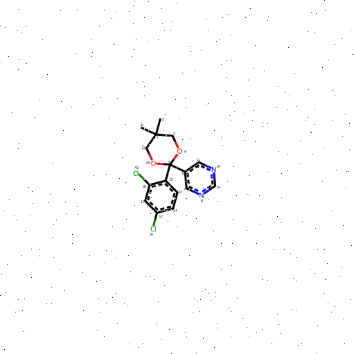 CC1(C)COC(c2cncnc2)(c2ccc(Cl)cc2Cl)OC1